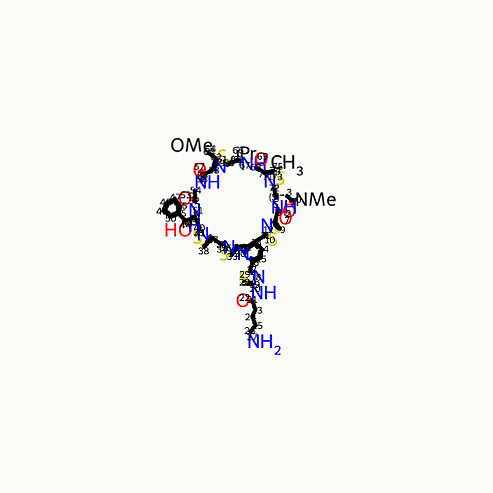 CNC(=O)C[C@@H]1NC(=O)c2csc(n2)-c2ccc(-c3nc(NC(=O)CCCCN)cs3)nc2-c2csc(n2)-c2csc(n2)[C@H]([C@@H](O)c2ccccc2)NC(=O)CNC(=O)c2nc(sc2COC)[C@H](C(C)C)NC(=O)c2nc1sc2C